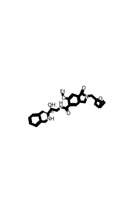 CCOc1cc2c(cc1C(=O)NC[C@@H](O)[C@@H]1Cc3ccccc3CN1)CN(CC13CC(CO1)C3)C2=O